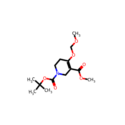 COCOC1=C(C(=O)OC)CN(C(=O)OC(C)(C)C)CC1